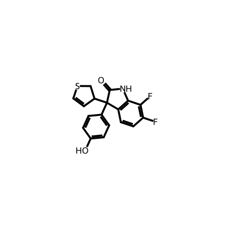 O=C1Nc2c(ccc(F)c2F)C1(c1ccc(O)cc1)C1C=CSC1